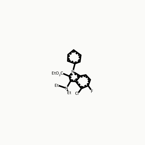 CCOC(=O)c1c(N(CC)CC)c2c(Cl)c(F)ccc2n1-c1ccccc1